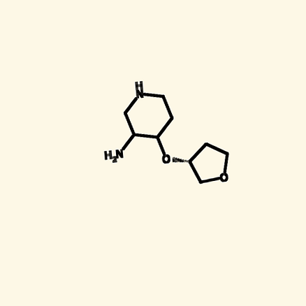 NC1CNCCC1O[C@@H]1CCOC1